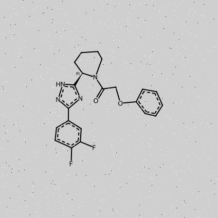 O=C(COc1ccccc1)N1CCCC[C@@H]1c1nc(-c2ccc(F)c(F)c2)n[nH]1